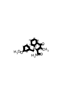 COc1cccc(Cn2c(C(N)=O)c(C)c(=O)c3ccccc32)c1